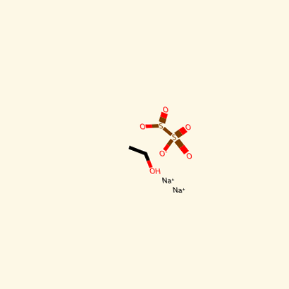 CCO.O=S([O-])S(=O)(=O)[O-].[Na+].[Na+]